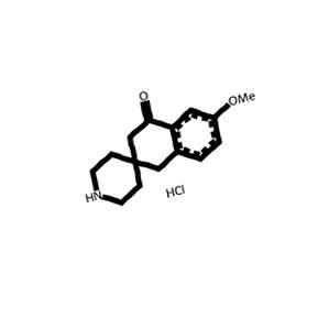 COc1ccc2c(c1)C(=O)CC1(CCNCC1)C2.Cl